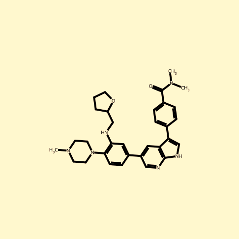 CN1CCN(c2ccc(-c3cnc4[nH]cc(-c5ccc(C(=O)N(C)C)cc5)c4c3)cc2NCC2CCCO2)CC1